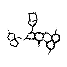 CCc1c(F)ccc2cc(O)cc(-n3ncc4c(C5=CC6CNCC(C5)N6)nc(OC[C@@]56CCCN5C[C@H](F)C6)nc4c3=O)c12